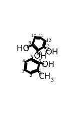 Cc1ccccc1O.Oc1cccc(O)c1O